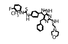 Fc1cccc(NC(=S)Nc2ccc(-c3n[nH]c4nc(NCCN5CCOCC5)nc(Cc5ccccc5)c34)cc2)c1C(F)(F)F